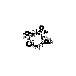 C=CC(C)(C)n1cc(C[C@@H]2NC(=O)[C@H](Cc3ccc(C)cc3)NC(=O)[C@H](CC(C)C)N3CC/C=C\C[C@@H](C3=O)N(C)C(=O)[C@H](C)NC(=O)[C@H](Cc3ccc4ncncc4c3)NC(=O)[C@H](CC(C)C)N(C)C2=O)c2ccccc21